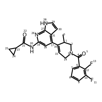 CC1CN(C(=O)c2cccc(F)c2F)CC=C1c1cc(NC(=O)C2CC2)nc2[nH]ccc12